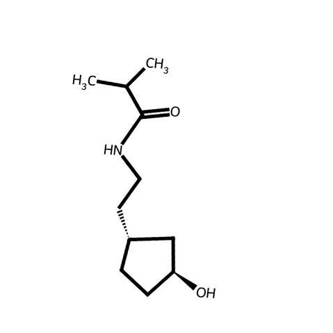 CC(C)C(=O)NCC[C@H]1CC[C@H](O)C1